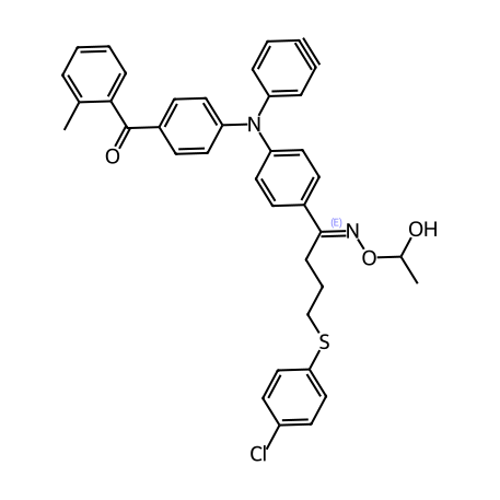 Cc1ccccc1C(=O)c1ccc(N(c2cc#ccc2)c2ccc(/C(CCCSc3ccc(Cl)cc3)=N/OC(C)O)cc2)cc1